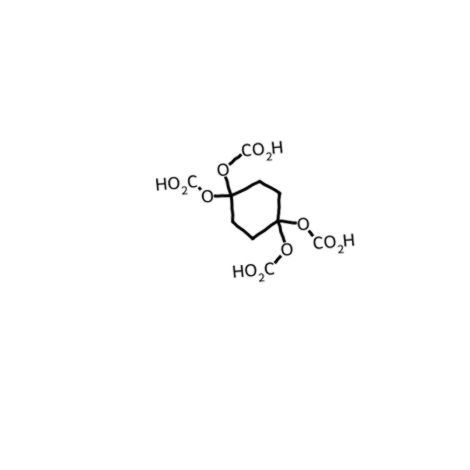 O=C(O)OC1(OC(=O)O)CCC(OC(=O)O)(OC(=O)O)CC1